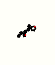 C1=C\C=C\C=C\C=C/C(n2c3ccccc3c3cc(-c4ccc5c(c4)c4ccccc4n5-c4cccc(-c5ccccc5)c4)ccc32)=C\C=C/1